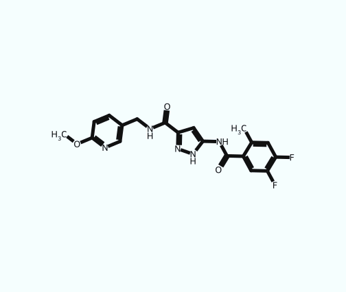 COc1ccc(CNC(=O)c2cc(NC(=O)c3cc(F)c(F)cc3C)[nH]n2)cn1